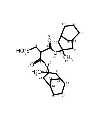 CC1(OC(=O)C(CS(=O)(=O)O)C(=O)OC2(C)CC3CCCC(C3)C2)CC2CCCC(C2)C1